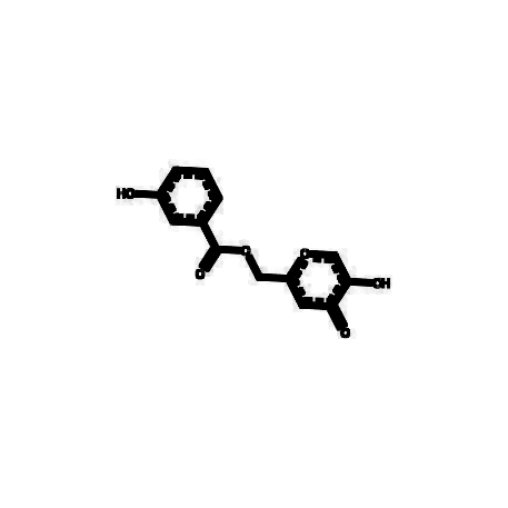 O=C(OCc1cc(=O)c(O)co1)c1cccc(O)c1